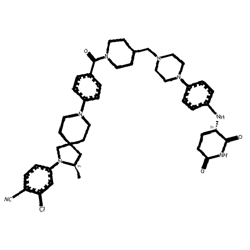 C[C@@H]1CC2(CCN(c3ccc(C(=O)N4CCC(CN5CCN(c6ccc(N[C@H]7CCC(=O)NC7=O)cc6)CC5)CC4)cc3)CC2)CN1c1ccc(C#N)c(Cl)c1